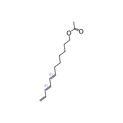 C=C/C=C/C=C/CCCCCCOC(C)=O